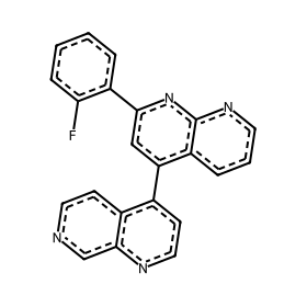 Fc1ccccc1-c1cc(-c2ccnc3cnccc23)c2cccnc2n1